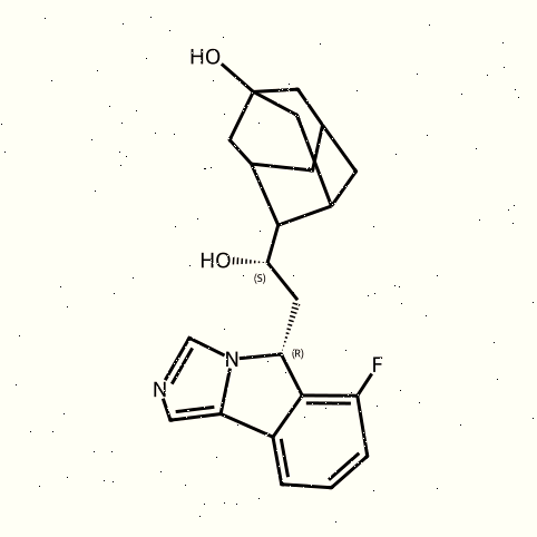 O[C@@H](C[C@@H]1c2c(F)cccc2-c2cncn21)C1C2CC3CC1CC(O)(C3)C2